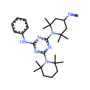 C=NC1CC(C)(C)N(c2nc(Nc3ccccc3)nc(N3C(C)(C)CCCC3(C)C)n2)C(C)(C)C1